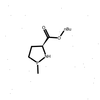 CCCCOC(=O)[C@@H]1CCP(C)N1